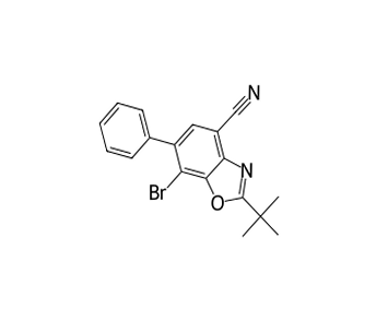 CC(C)(C)c1nc2c(C#N)cc(-c3ccccc3)c(Br)c2o1